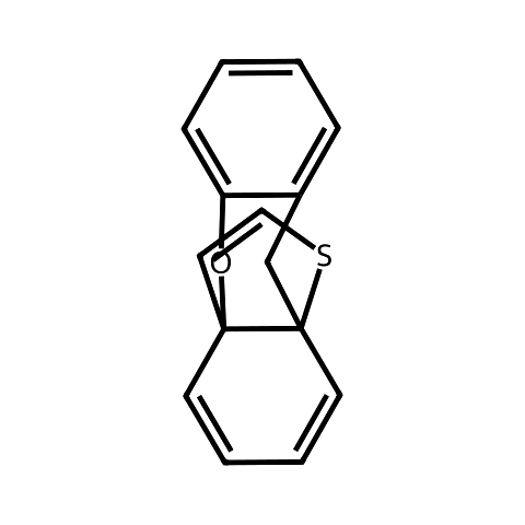 C1=CC23C=CSC2(C=C1)Cc1ccccc1O3